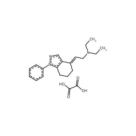 CCN(CC)C/C=C1\CCCc2c1cnn2-c1ccccc1.O=C(O)C(=O)O